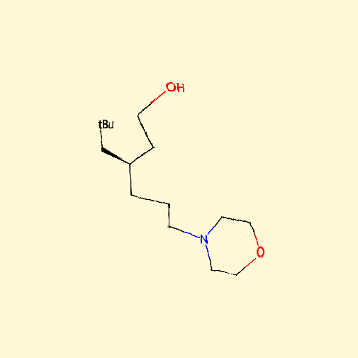 CC(C)(C)C[C@@H](CCO)CCCN1CCOCC1